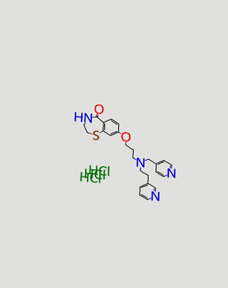 Cl.Cl.Cl.O=C1NCCSc2cc(OCCCN(CCc3cccnc3)Cc3ccncc3)ccc21